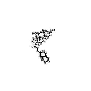 C[C@H](CCc1ncc2cccnc2n1)[C@H]1CC[C@H]2[C@H]3C(CC[C@]12C)[C@@]1(C)CC[C@@H](O)C[C@H]1C[C@H]3O